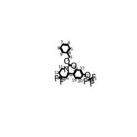 O=C(OCc1ccccc1)N1CCC(F)(F)C[C@@H]1c1ccc(OC(F)(F)F)cc1